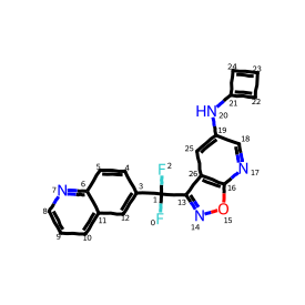 FC(F)(c1ccc2ncccc2c1)c1noc2ncc(NC3=CC=C3)cc12